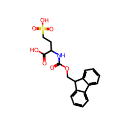 O=C(NC(CCS(=O)(=O)O)C(=O)O)OCC1c2ccccc2-c2ccccc21